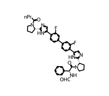 CCCC(=O)N1CCC[C@H]1c1ncc(-c2ccc(-c3ccc(-c4cnc([C@@H]5CCCN5C(=O)[C@H](NC=O)c5ccccc5)[nH]4)c(F)c3)cc2F)[nH]1